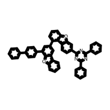 c1ccc(-c2ccc(-c3cc(-c4cccc5oc6cc(-c7nc(-c8ccccc8)nc(-c8ccccc8)n7)ccc6c45)cc4c3oc3ccccc34)cc2)cc1